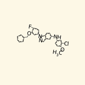 COc1ccc(Nc2ccc3c(cnn3-c3ccc(F)c(OCc4ccccc4)c3)c2)cc1Cl